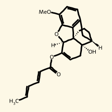 C/C=C/C=C/C(=O)OC1=CC[C@]2(O)[C@H]3CCC[C@]24c2c(ccc(OC)c2O[C@H]14)C3